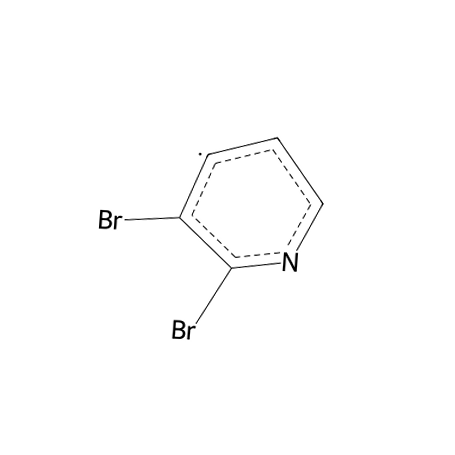 Brc1[c]ccnc1Br